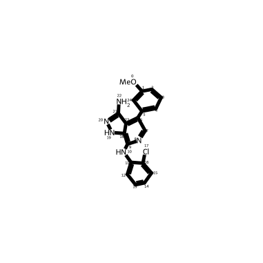 COc1cccc(-c2cnc(Nc3ccccc3Cl)c3[nH]nc(N)c23)c1